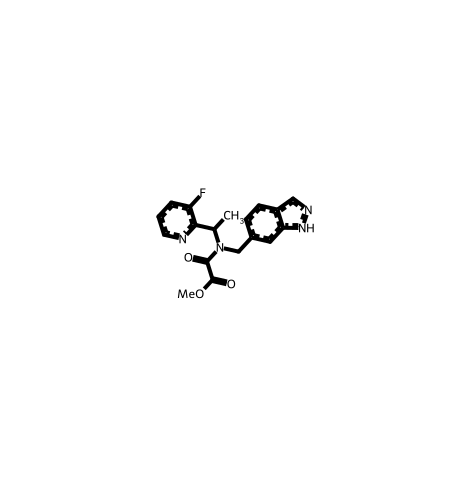 COC(=O)C(=O)N(Cc1ccc2cn[nH]c2c1)C(C)c1ncccc1F